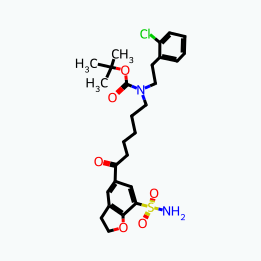 CC(C)(C)OC(=O)N(CCCCCC(=O)c1cc2c(c(S(N)(=O)=O)c1)OCC2)CCc1ccccc1Cl